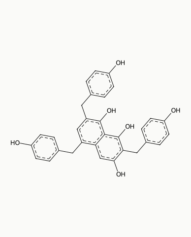 Oc1ccc(Cc2cc(Cc3ccc(O)cc3)c3cc(O)c(Cc4ccc(O)cc4)c(O)c3c2O)cc1